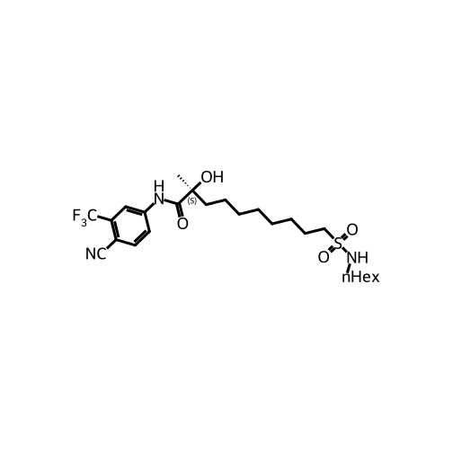 CCCCCCNS(=O)(=O)CCCCCCCC[C@](C)(O)C(=O)Nc1ccc(C#N)c(C(F)(F)F)c1